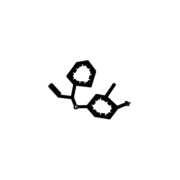 C=CC(Oc1ccc(Br)c(C)c1)c1ccccc1